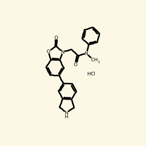 CN(C(=O)Cn1c(=O)oc2ccc(-c3ccc4c(c3)CNC4)cc21)c1ccccc1.Cl